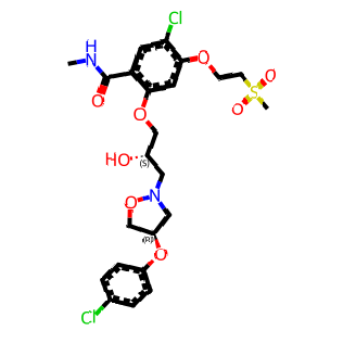 CNC(=O)c1cc(Cl)c(OCCS(C)(=O)=O)cc1OC[C@@H](O)CN1C[C@@H](Oc2ccc(Cl)cc2)CO1